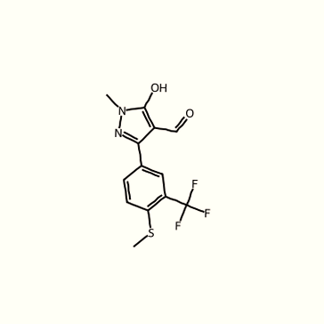 CSc1ccc(-c2nn(C)c(O)c2C=O)cc1C(F)(F)F